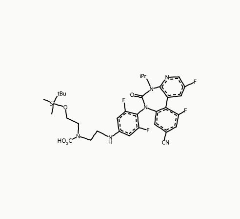 CC(C)N1C(=O)N(c2c(F)cc(NCCN(CCO[Si](C)(C)C(C)(C)C)C(=O)O)cc2F)c2cc(C#N)cc(F)c2-c2cc(F)cnc21